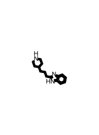 c1ccc2[nH]c(CCCC3CCNCC3)nc2c1